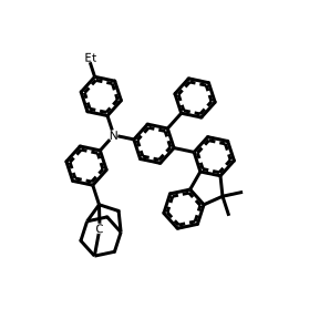 CCc1ccc(N(c2cccc(C34CC5CC(CC3C5)C4)c2)c2ccc(-c3cccc4c3-c3ccccc3C4(C)C)c(-c3ccccc3)c2)cc1